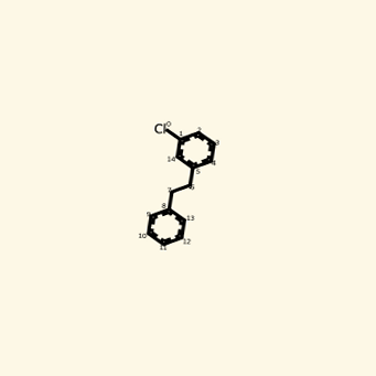 Clc1cccc([CH]Cc2ccccc2)c1